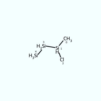 C[SiH](Cl)[SiH2][SiH3]